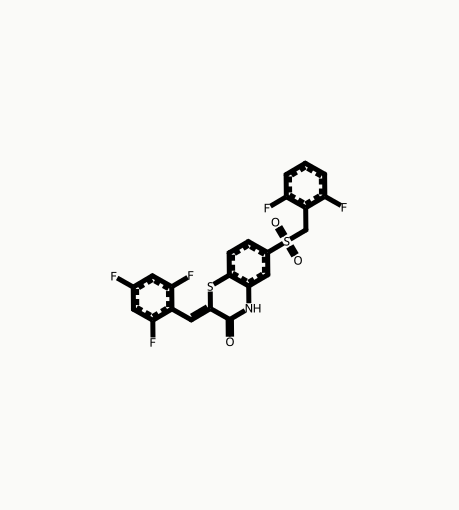 O=C1Nc2cc(S(=O)(=O)Cc3c(F)cccc3F)ccc2SC1=Cc1c(F)cc(F)cc1F